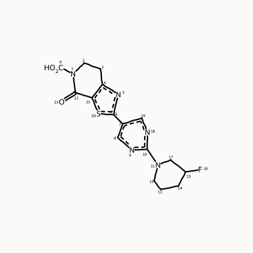 O=C(O)N1CCc2nc(-c3cnc(N4CCCC(F)C4)nc3)sc2C1=O